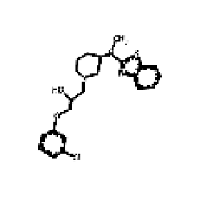 CN(c1nc2ccccc2s1)C1CCCN(CC(O)COc2cccc(Cl)c2)C1